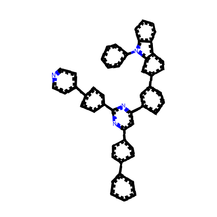 c1ccc(-c2ccc(-c3cc(-c4cccc(-c5ccc6c7ccccc7n(-c7ccccc7)c6c5)c4)nc(-c4ccc(-c5ccncc5)cc4)n3)cc2)cc1